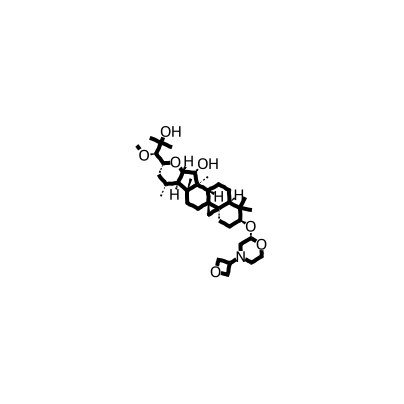 CO[C@@H]([C@H]1C[C@@H](C)[C@H]2[C@H](O1)[C@H](O)[C@@]1(C)[C@@H]3CC[C@H]4C(C)(C)[C@@H](O[C@H]5CN(C6COC6)CCO5)CC[C@@]45C[C@@]35CC[C@]21C)C(C)(C)O